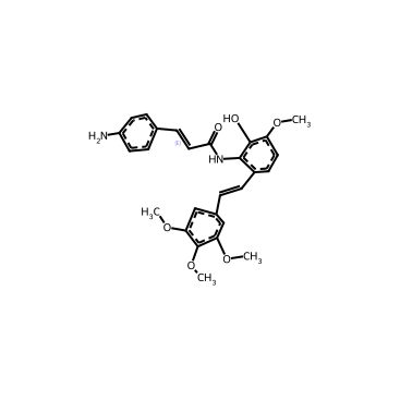 COc1ccc(C=Cc2cc(OC)c(OC)c(OC)c2)c(NC(=O)/C=C/c2ccc(N)cc2)c1O